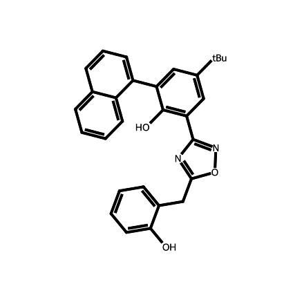 CC(C)(C)c1cc(-c2noc(Cc3ccccc3O)n2)c(O)c(-c2cccc3ccccc23)c1